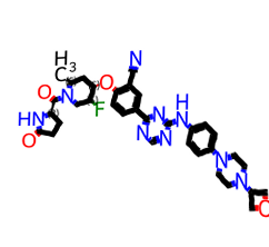 C[C@H]1C[C@H](Oc2ccc(-c3ncnc(Nc4ccc(N5CCN(C6COC6)CC5)cc4)n3)cc2C#N)[C@@H](F)CN1C(=O)[C@H]1CCC(=O)N1